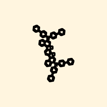 c1ccc(-c2ccc(N(c3ccc(-c4ccccc4)cc3)c3cc4oc5c(ccc6c5oc5cc(N(c7ccc(-c8ccccc8)cc7)c7ccc(-c8ccccc8)cc7)c7ccccc7c56)c4c4ccccc34)cc2)cc1